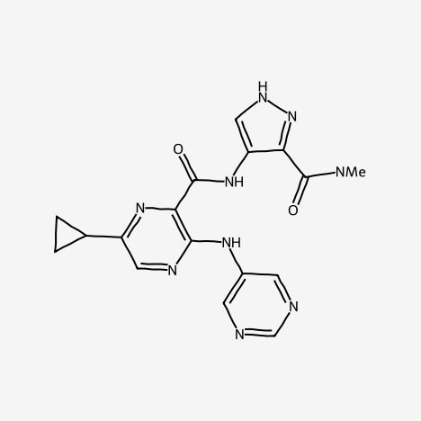 CNC(=O)c1n[nH]cc1NC(=O)c1nc(C2CC2)cnc1Nc1cncnc1